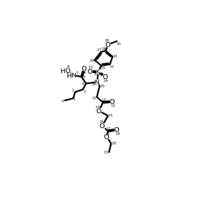 CCCCC(C(=O)NO)N(CCC(=O)OCOC(=O)OCC)S(=O)(=O)c1ccc(OC)cc1